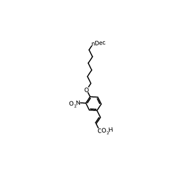 CCCCCCCCCCCCCCCCOc1ccc(C=CC(=O)O)cc1[N+](=O)[O-]